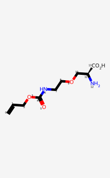 C=CCOC(=O)NCCOC[C@H](N)C(=O)O